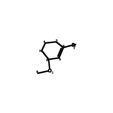 COC1[CH]CCC(Br)=C1